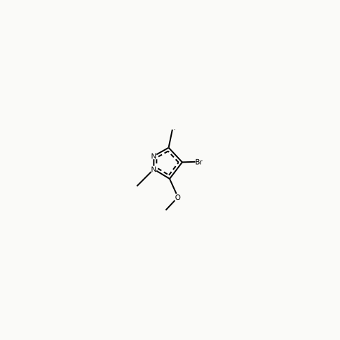 [CH2]c1nn(C)c(OC)c1Br